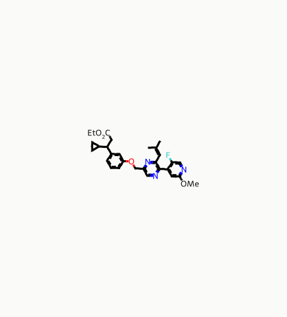 CCOC(=O)CC(c1cccc(OCc2cnc(-c3cc(OC)ncc3F)c(C=C(C)C)n2)c1)C1CC1